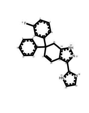 Fc1cccc(C2(c3ccccc3)C=Cc3c(-c4ncc[nH]4)n[nH]c3C2)c1